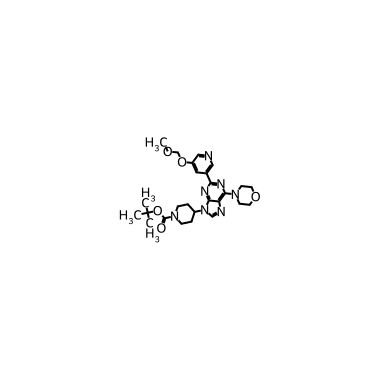 COCOc1cncc(-c2nc(N3CCOCC3)c3ncn(C4CCN(C(=O)OC(C)(C)C)CC4)c3n2)c1